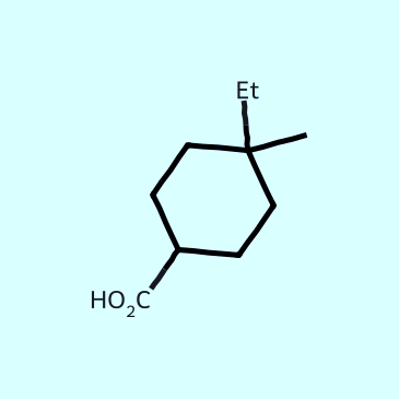 CCC1(C)CCC(C(=O)O)CC1